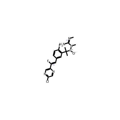 C/N=C(/N)N(C)[S+]([O-])C(C)(C)c1cc(/C=C(\F)c2cnc(Cl)cn2)ccc1F